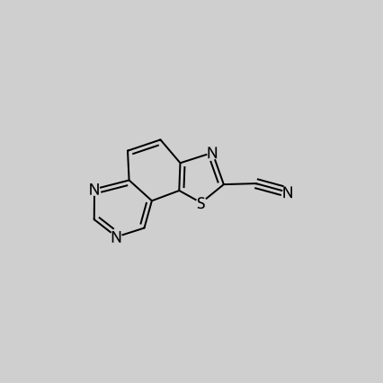 N#Cc1nc2ccc3ncncc3c2s1